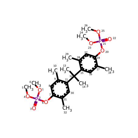 COP(=O)(OC)Oc1cc(C)c(C(C)(C)c2cc(C)c(OP(=O)(OC)OC)cc2C)cc1C